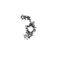 CC[C@H]1OC(=O)[C@H](C)C(=O)C[C@@H](O[C@@H]2O[C@H](C)CC(N)C2O)[C@](C)(OC)C[C@@H](C)CN[C@H](C)[C@H]2N(CCCCn3cc(-c4nc5ccccc5s4)nn3)C(=O)O[C@]12C